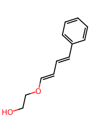 OCCOC=CC=Cc1ccccc1